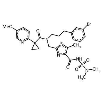 COc1ccc(C2(C(=O)N(CCCc3cccc(Br)c3)Cc3nc(C(=O)NS(=O)(=O)N(C)C)c(C)s3)CC2)nc1